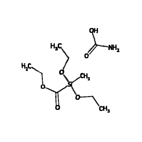 CCOC(=O)[Si](C)(OCC)OCC.NC(=O)O